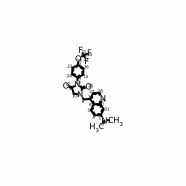 CN(C)c1ccc2c(CN3CC(=O)N(c4ccc(OC(F)(F)F)cc4)C3=O)ccnc2c1